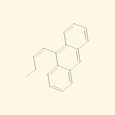 CC/C=[C]\c1c2ccccc2cc2ccccc12